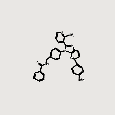 CC(=O)Nc1ccc(-c2ccc3nc(-c4cccnc4N)n(-c4ccc(CNC(=O)c5ccccc5)cc4)c3n2)cc1